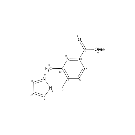 COC(=O)c1ccc(Cn2cccn2)c(C(F)(F)F)n1